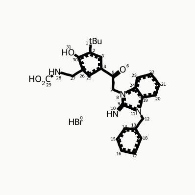 Br.CC(C)(C)c1cc(C(=O)Cn2c(=N)n(Cc3ccccc3)c3ccccc32)cc(CNC(=O)O)c1O